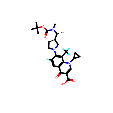 C[C@H]([C@@H]1CCN(c2c(F)cc3c(=O)c(C(=O)O)cn(C4CC4)c3c2C(F)(F)F)C1)N(C)C(=O)OC(C)(C)C